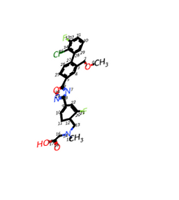 COCc1cc(-c2nc(C3=CCC(CN(C)CC(=O)O)C(F)=C3)no2)ccc1-c1cccc(F)c1Cl